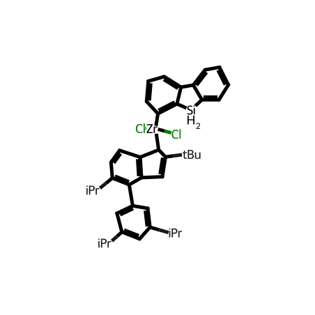 CC(C)c1cc(-c2c(C(C)C)ccc3c2C=C(C(C)(C)C)[CH]3[Zr]([Cl])([Cl])[c]2cccc3c2[SiH2]c2ccccc2-3)cc(C(C)C)c1